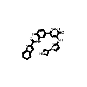 O=C(Nc1cc(-c2cc(Nc3ccn(C4CNC4)n3)c(=O)[nH]n2)ccc1F)c1cc2c(s1)=CCCC=2